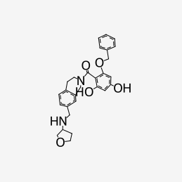 O=C(c1c(O)cc(O)cc1OCc1ccccc1)N1CCc2ccc(CNC3CCOC3)cc2C1